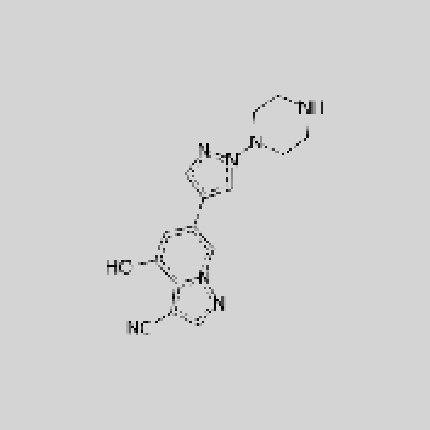 N#Cc1cnn2cc(-c3cnn(N4CCNCC4)c3)cc(O)c12